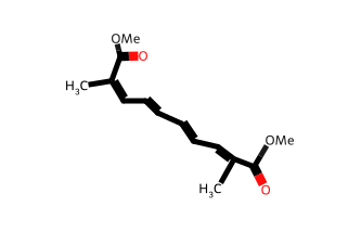 COC(=O)C(C)=CC=CC=CC=C(C)C(=O)OC